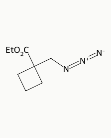 CCOC(=O)C1(CN=[N+]=[N-])CCC1